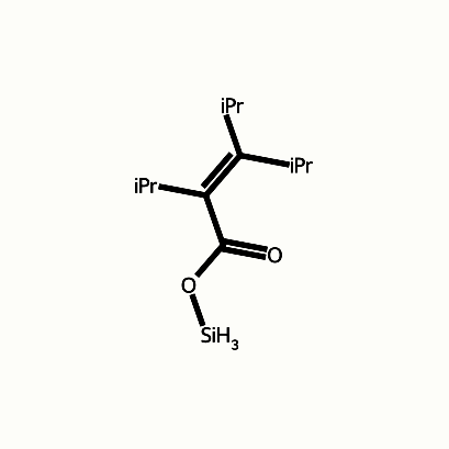 CC(C)C(C(=O)O[SiH3])=C(C(C)C)C(C)C